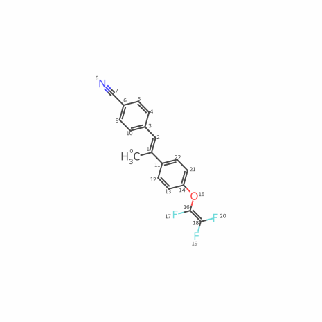 C/C(=C\c1ccc(C#N)cc1)c1ccc(OC(F)=C(F)F)cc1